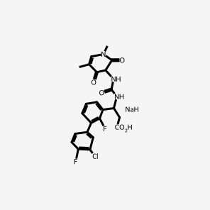 CC1=CN(C)C(=O)C(NC(=O)NC(CC(=O)O)c2cccc(-c3ccc(F)c(Cl)c3)c2F)C1=O.[NaH]